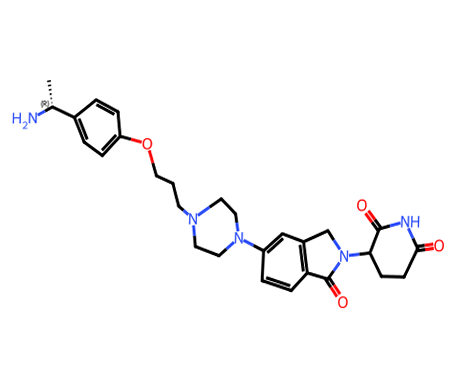 C[C@@H](N)c1ccc(OCCCN2CCN(c3ccc4c(c3)CN(C3CCC(=O)NC3=O)C4=O)CC2)cc1